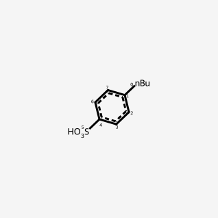 [CH2]CCCc1ccc(S(=O)(=O)O)cc1